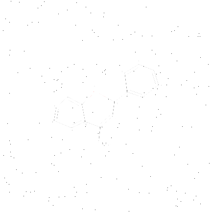 COC1=CC(c2ccccc2)Oc2ccccc21